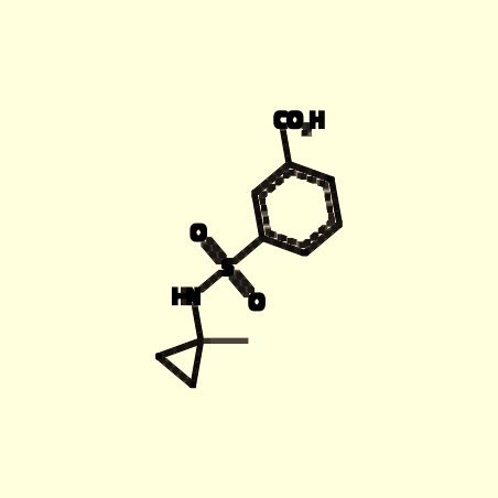 CC1(NS(=O)(=O)c2cccc(C(=O)O)c2)CC1